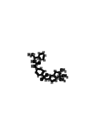 CC(NC(=O)Nc1ccc(S(=O)(=O)Cc2ccc3c(c2)CN(C)C3(C)C)cc1)c1ccccc1